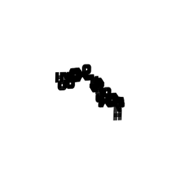 CC(OC(=O)N1CCN(CCC(=O)c2ccc3[nH]c(=O)oc3c2)CC1)c1ccc2cc[nH]c2c1